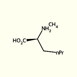 C.CCCC[C@H](N)C(=O)O